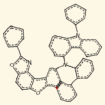 c1ccc(-c2nc3c(ccc4oc5ccc(N(c6ccccc6-c6ccccc6)c6cccc7c6c6ccccc6n7-c6ccccc6)cc5c43)o2)cc1